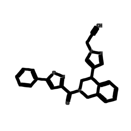 C#CCn1cc(C2CN(C(=O)c3cc(-c4ccccc4)on3)Cc3ccccc32)cn1